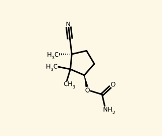 CC1(C)[C@H](OC(N)=O)CC[C@]1(C)C#N